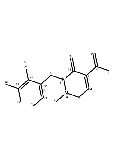 C=C(C)C1=CCN(C)N(C/C(=C/C)C(F)=C(C)C)C1=C